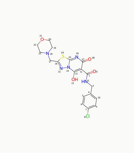 O=C(NCc1ccc(Cl)cc1)c1c(O)n2nc(CN3CCOCC3)sc2nc1=O